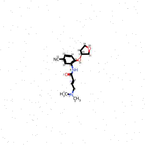 CN(C)C/C=C/C(=O)Nc1cc(C#N)ccc1O[C@H]1CCOC1